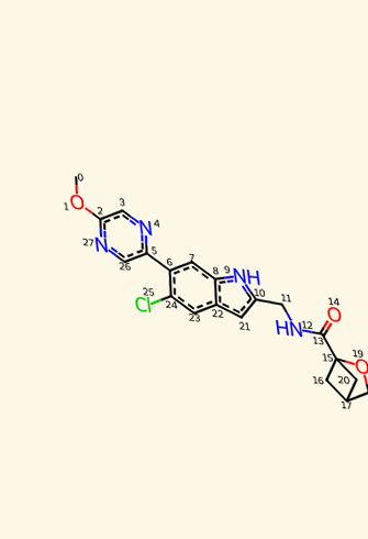 COc1cnc(-c2cc3[nH]c(CNC(=O)C45CC(CO4)C5)cc3cc2Cl)cn1